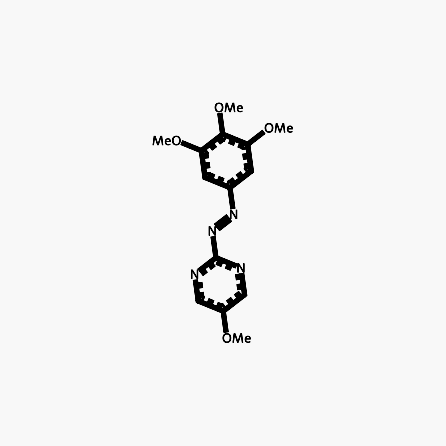 COc1cnc(/N=N/c2cc(OC)c(OC)c(OC)c2)nc1